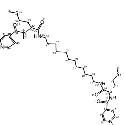 CSCC[C@H](NC(=O)c1ccncc1)C(=O)NCCCCCCCCCCCCNC(=O)[C@H](CCSC)NC(=O)c1ccncc1